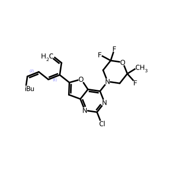 C=C/C(=C\C=C/C(C)CC)c1cc2nc(Cl)nc(N3CC(C)(F)OC(F)(F)C3)c2o1